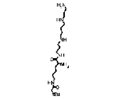 CC(C)(C)CC(=O)NCCCCC(N)C(=O)NCCCNCCCCNCCCN